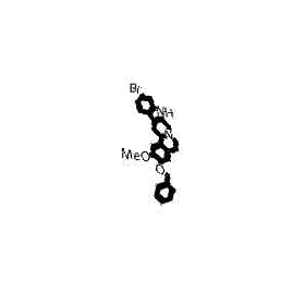 COc1cc2c(cc1OCc1ccccc1)CCN1Cc3[nH]c4cc(Br)ccc4c3CC21